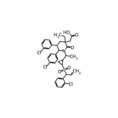 C=CC(c1ccccc1Cl)S(=O)(=O)C1CC1C(C)N1C(=O)C(CC)(CC(=O)O)CC(c2cccc(Cl)c2)C1c1ccc(Cl)cc1